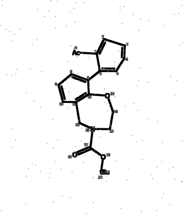 CC(=O)c1ccccc1-c1cccc2c1OCCN(C(=O)OC(C)(C)C)C2